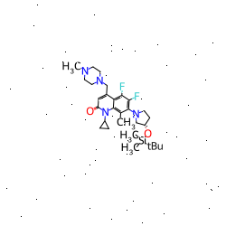 Cc1c(N2CC[C@H](O[Si](C)(C)C(C)(C)C)C2)c(F)c(F)c2c(CN3CCN(C)CC3)cc(=O)n(C3CC3)c12